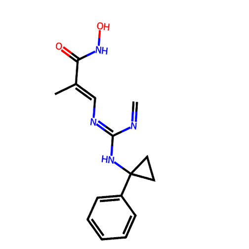 C=N/C(=N\C=C(/C)C(=O)NO)NC1(c2ccccc2)CC1